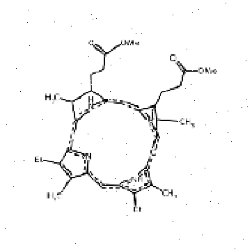 CCC1=C(C)c2cc3[nH]c(cc4nc(cc5[nH]c(cc1n2)C(C)C5CCC(=O)OC)C(CCC(=O)OC)=C4C)c(C)c3CC